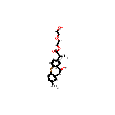 Cc1ccc2c(c1)CC(=O)c1cc(C(C)C(=O)OCCOCCO)ccc1S2